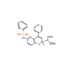 COC(OC)C1(C)C=C(c2ccncc2)c2cc(NS(=O)(=O)c3ccccc3)ccc2O1